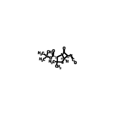 CC1(C)S[C@@H]2[C@H](N=C=O)C(=O)N2[C@H]1C(=O)O[Si](C)(C)C